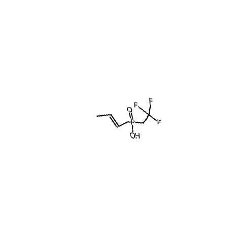 CC=CP(=O)(O)CC(F)(F)F